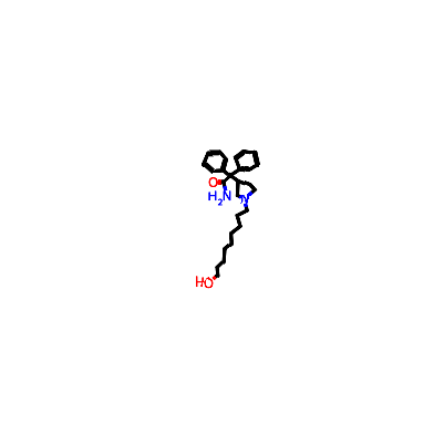 NC(=O)C(c1ccccc1)(c1ccccc1)C1CCN(CCCCCCCCCO)C1